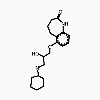 O=C1CCCc2c(cccc2OCC(O)CNC2CCCCC2)N1